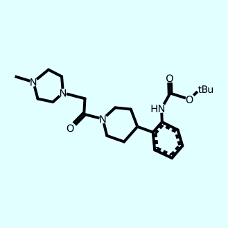 CN1CCN(CC(=O)N2CCC(c3ccccc3NC(=O)OC(C)(C)C)CC2)CC1